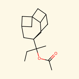 CCC(C)(OC(C)=O)C12CC3CC4(C3)CC(C1)C4C2